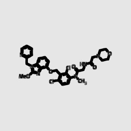 COc1nc2c(OCc3c(Cl)ccc(N(C)C(=O)CNC(=O)CN4CCOCC4)c3Cl)cccc2n1Cc1ccccn1